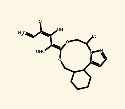 C=C/C(Cl)=C(O)\C(C=O)=C1\OCC2CCCCC2c2ccnn2C(CC)CO1